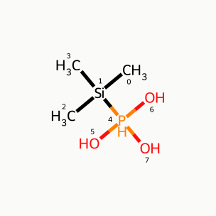 C[Si](C)(C)[PH](O)(O)O